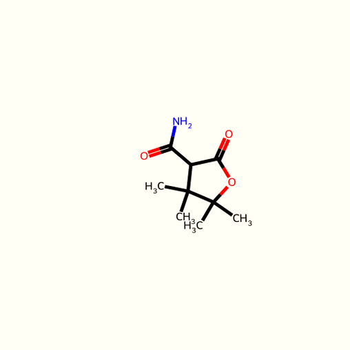 CC1(C)OC(=O)C(C(N)=O)C1(C)C